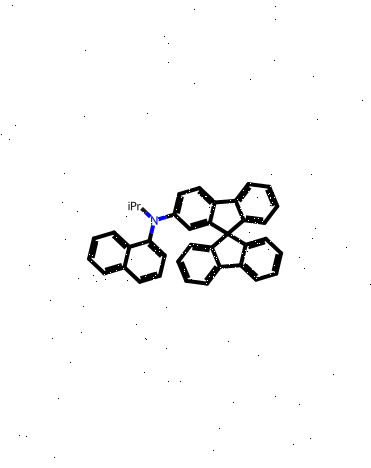 CC(C)N(c1ccc2c(c1)C1(c3ccccc3-c3ccccc31)c1ccccc1-2)c1cccc2ccccc12